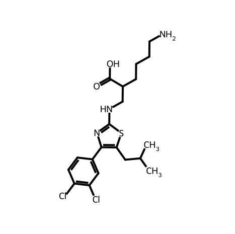 CC(C)Cc1sc(NCC(CCCCN)C(=O)O)nc1-c1ccc(Cl)c(Cl)c1